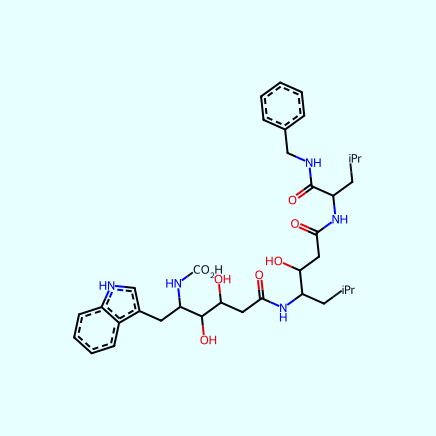 CC(C)CC(NC(=O)CC(O)C(CC(C)C)NC(=O)CC(O)C(O)C(Cc1c[nH]c2ccccc12)NC(=O)O)C(=O)NCc1ccccc1